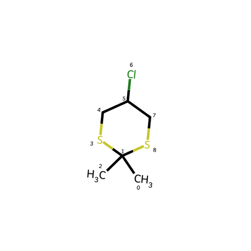 CC1(C)SCC(Cl)CS1